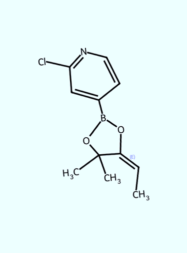 C/C=C1/OB(c2ccnc(Cl)c2)OC1(C)C